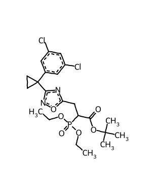 CCOP(=O)(OCC)C(Cc1nc(C2(c3cc(Cl)cc(Cl)c3)CC2)no1)C(=O)OC(C)(C)C